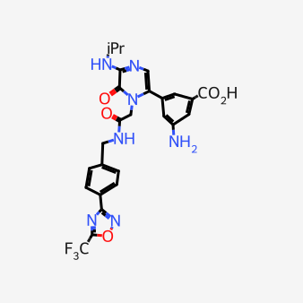 CC(C)Nc1ncc(-c2cc(N)cc(C(=O)O)c2)n(CC(=O)NCc2ccc(-c3noc(C(F)(F)F)n3)cc2)c1=O